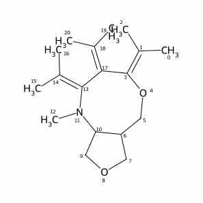 CC(C)=C1OCC2COCC2N(C)C(=C(C)C)C1=C(C)C